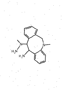 CN1Cc2ccccc2C(N(C)N)C(N)c2ccccc21